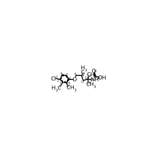 Cc1c(Cl)ccc(OCC(C)CC(C)(C)NC(=O)O)c1C